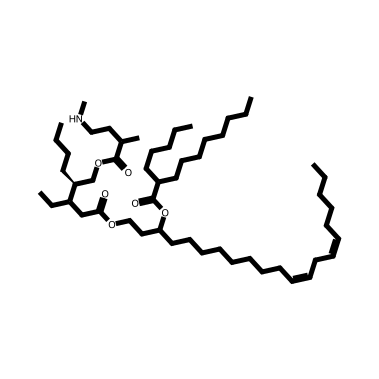 CCCCC/C=C\C/C=C\CCCCCCCCC(CCOC(=O)CC(CC)[C@@H](CCCC)COC(=O)C(C)CCNC)OC(=O)C(CCCCC)CCCCCCCC